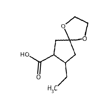 CCC1CC2(CC1C(=O)O)OCCO2